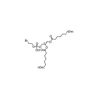 CCCCCCCCCCCCCCCC(=O)OC[C@H](COP(=O)(O)OCCBr)OC(=O)CCCCCCCCCCCCCCC